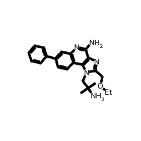 CCOCc1nc2c(N)nc3cc(-c4ccccc4)ccc3c2n1CC(C)(C)N